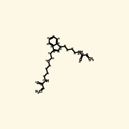 C=CC(=O)NCCCCOCCc1cn(CCCCNC(=O)C=C)c2ccccc12